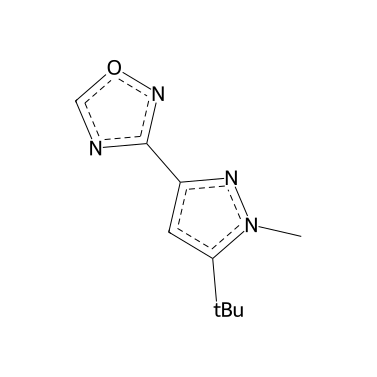 Cn1nc(-c2ncon2)cc1C(C)(C)C